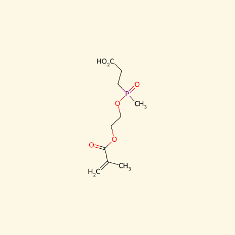 C=C(C)C(=O)OCCOP(C)(=O)CCC(=O)O